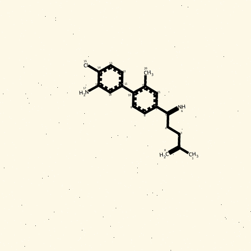 C=C(C)CCC(=N)c1ccc(-c2ccc(Cl)c(N)c2)c(C)c1